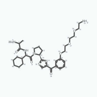 CNC(C)C(=O)NC(C(=O)N1CCC[C@H]1c1nc(C(=O)c2cccc(OCCOCCOCCN)c2)cs1)C1CCCCC1